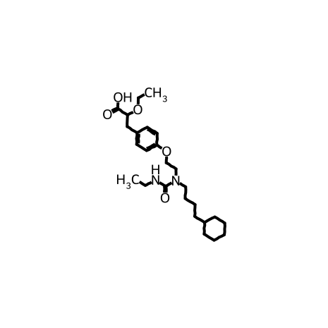 CCNC(=O)N(CCCCC1CCCCC1)CCOc1ccc(CC(OCC)C(=O)O)cc1